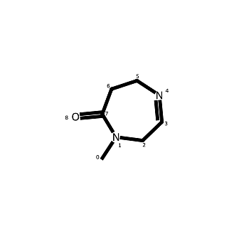 CN1CC=NCCC1=O